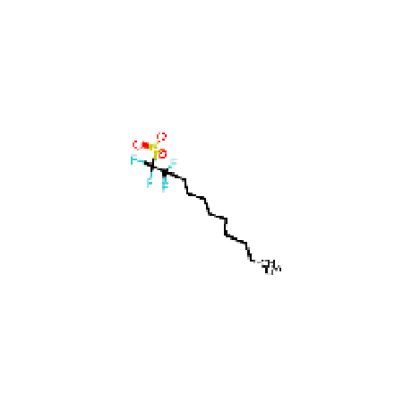 CCCCCCCCCC(F)(F)C(F)(F)S(=O)(=O)[O-].[Li+]